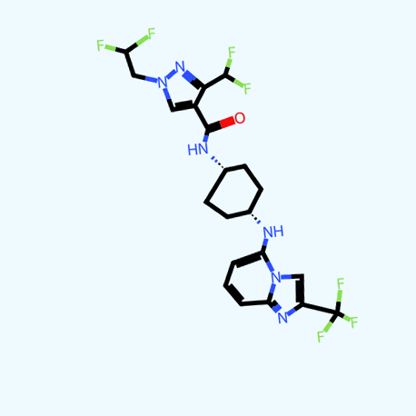 O=C(N[C@H]1CC[C@@H](Nc2cccc3nc(C(F)(F)F)cn23)CC1)c1cn(CC(F)F)nc1C(F)F